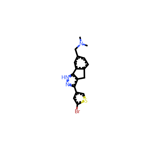 CN(C)Cc1ccc2c(c1)-c1[nH]nc(-c3csc(Br)c3)c1C2